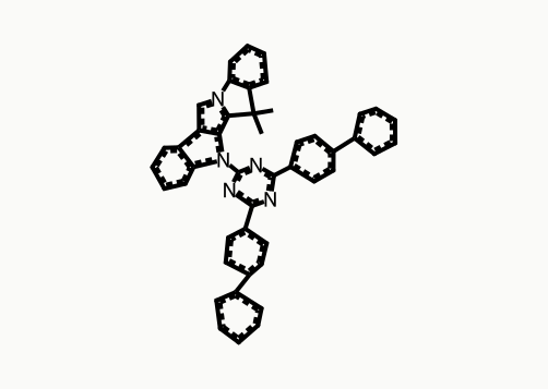 CC1(C)c2ccccc2-n2cc3c4ccccc4n(-c4nc(-c5ccc(-c6ccccc6)cc5)nc(-c5ccc(-c6ccccc6)cc5)n4)c3c21